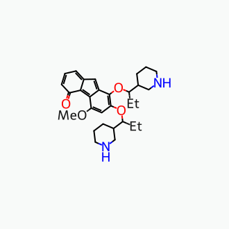 CCC(Oc1cc(OC)c2c(c1OC(CC)C1CCCNC1)=CC1=CC=CC(=O)C=21)C1CCCNC1